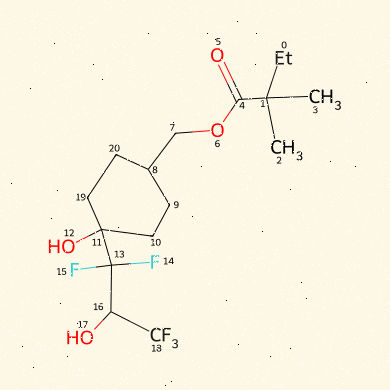 CCC(C)(C)C(=O)OCC1CCC(O)(C(F)(F)C(O)C(F)(F)F)CC1